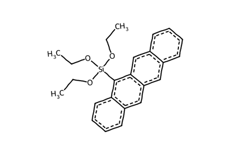 CCO[Si](OCC)(OCC)c1c2ccccc2cc2cc3ccccc3cc12